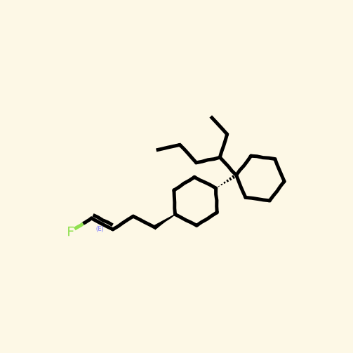 CCCC(CC)C1([C@H]2CC[C@H](CC/C=C/F)CC2)CCCCC1